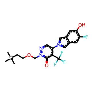 C[Si](C)(C)CCOCn1ncc(-n2cc3cc(O)c(F)cc3c2)c(C(F)(F)F)c1=O